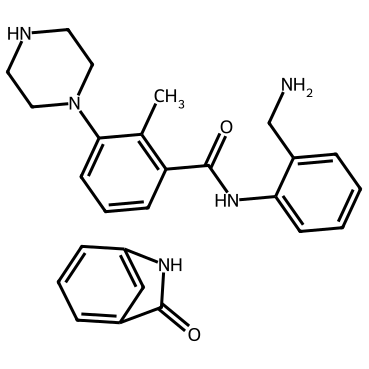 Cc1c(C(=O)Nc2ccccc2CN)cccc1N1CCNCC1.O=C1Nc2cccc1c2